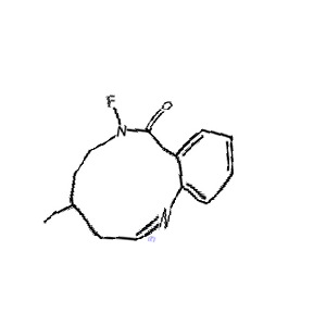 CC1C/C=N\c2ccccc2C(=O)N(F)CC1